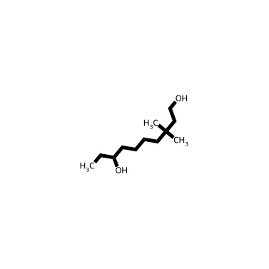 CCC(O)CCCCC(C)(C)CCO